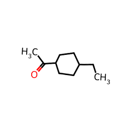 CCC1CCC(C(C)=O)CC1